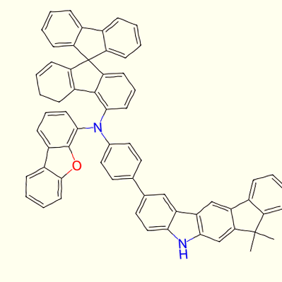 CC1(C)c2ccccc2-c2cc3c(cc21)[nH]c1ccc(-c2ccc(N(c4cccc5c4C4=C(C=CCC4)C54c5ccccc5-c5ccccc54)c4cccc5c4oc4ccccc45)cc2)cc13